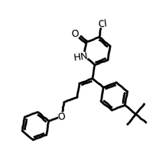 CC(C)(C)c1ccc(/C(=C\CCOc2ccccc2)c2ccc(Cl)c(=O)[nH]2)cc1